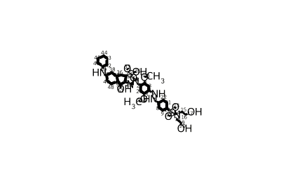 COc1cc(NNc2ccc(S(=O)(=O)N(CCO)CCO)cc2)c(OC)cc1/N=N/c1c(S(=O)(=O)O)cc2cc(Nc3ccccc3)ccc2c1O